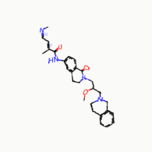 C/N=C\C=C(/C)C(=O)Nc1ccc2c(c1)CCN(CC(CN1CCc3ccccc3C1)OC)C2=O